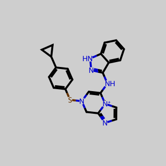 C1=C[N+]2C(Nc3n[nH]c4ccccc34)=CN(Sc3ccc(C4CC4)cc3)CC2=N1